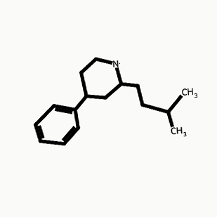 CC(C)CCC1CC(c2ccccc2)CC[N]1